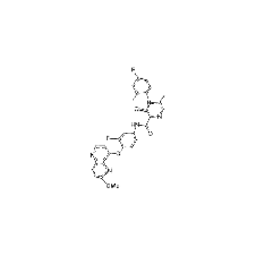 COc1ccc2nccc(Oc3ccc(NC(=O)c4ncc(C)n(-c5ccc(F)cc5C)c4=O)cc3F)c2n1